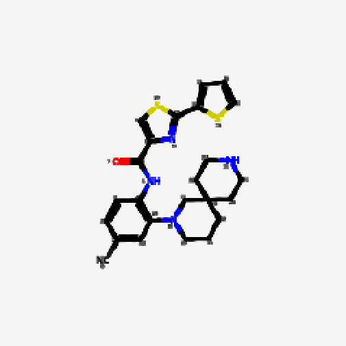 N#Cc1ccc(NC(=O)c2csc(-c3cccs3)n2)c(N2CCCC3(CCNCC3)C2)c1